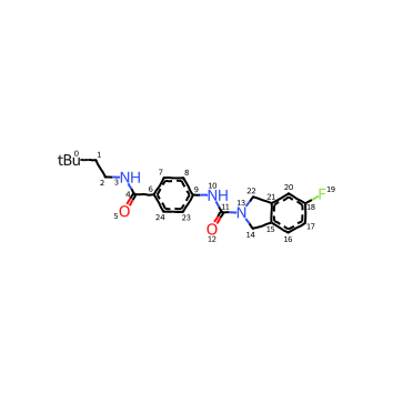 CC(C)(C)CCNC(=O)c1ccc(NC(=O)N2Cc3ccc(F)cc3C2)cc1